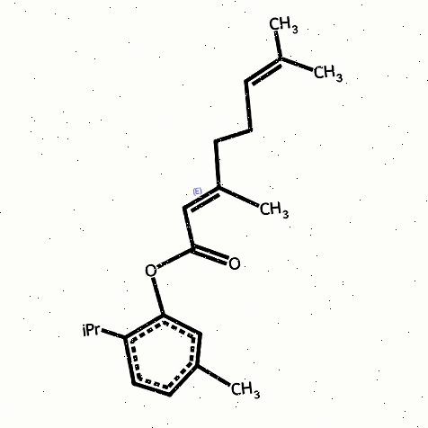 CC(C)=CCC/C(C)=C/C(=O)Oc1cc(C)ccc1C(C)C